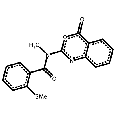 CSc1ccccc1C(=O)N(C)c1nc2ccccc2c(=O)o1